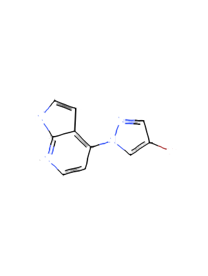 Brc1cnn(-c2ccnc3[nH]ccc23)c1